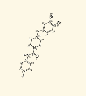 Cc1ccc(NC(=O)N2CCN(Cc3ccc(Br)c(Br)c3)CC2)cc1